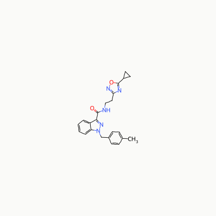 Cc1ccc(Cn2nc(C(=O)NCCc3noc(C4CC4)n3)c3ccccc32)cc1